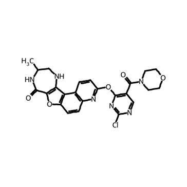 CC1CNc2c(oc3ccc4nc(Oc5nc(Cl)ncc5C(=O)N5CCOCC5)ccc4c23)C(=O)N1